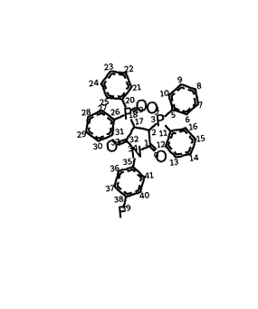 O=C1C(P(=O)(c2ccccc2)c2ccccc2)C(P(=O)(c2ccccc2)c2ccccc2)C(=O)N1c1ccc(F)cc1